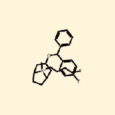 C[N+]1(CCCCF)C2CCC1CC(OC(c1ccccc1)c1ccc(F)cc1)C2